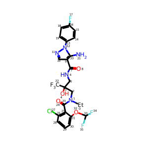 CCN(CC(O)(CNC(=O)c1cnn(-c2ccc(F)cc2)c1N)C(F)(F)F)C(=O)c1c(Cl)cccc1OC(F)F